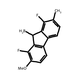 BC1c2c(ccc(C)c2F)-c2ccc(OC)c(F)c21